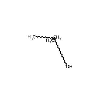 CCCCCCCCCCCC[N+](C)(C)CCCCCCCCCCCCCCCCCCO